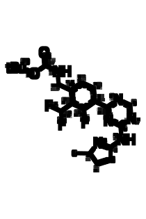 CC1C=CC(Nc2ncnc(-c3ccc(CNC(=O)OC(C)(C)C)c(C(F)F)c3F)n2)=N1